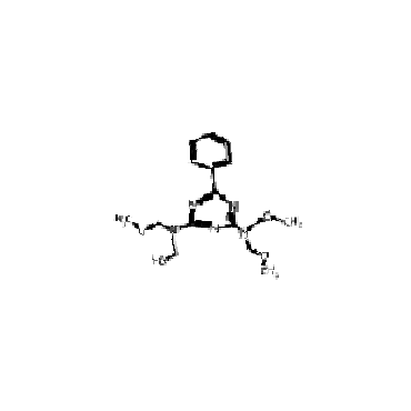 COCN(CO)c1nc(-c2ccccc2)nc(N(COC)OC)n1